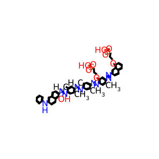 Cc1cc(N=Nc2cc(C)c(N=Nc3cc(C)c(N=Nc4ccc5cc(Nc6ccccc6)ccc5c4O)cc3C)cc2C)c(OCCCS(=O)(=O)O)cc1N=Nc1ccc2cccc(OCCCS(=O)(=O)O)c2c1